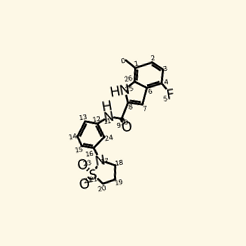 Cc1ccc(F)c2cc(C(=O)Nc3cccc(N4CCCS4(=O)=O)c3)[nH]c12